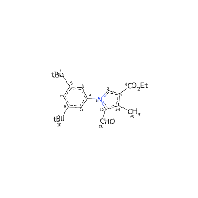 CCOC(=O)c1cn(-c2cc(C(C)(C)C)cc(C(C)(C)C)c2)c(C=O)c1C